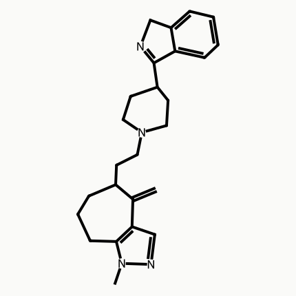 C=C1c2cnn(C)c2CCCC1CCN1CCC(C2=NCc3ccccc32)CC1